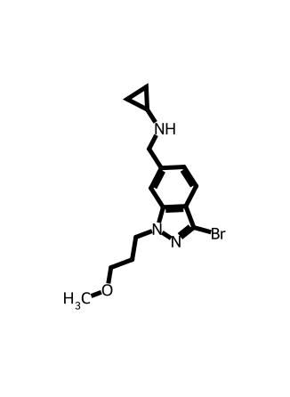 COCCCn1nc(Br)c2ccc(CNC3CC3)cc21